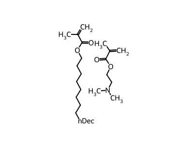 C=C(C)C(=O)OCCCCCCCCCCCCCCCCCC.C=C(C)C(=O)OCCN(C)C